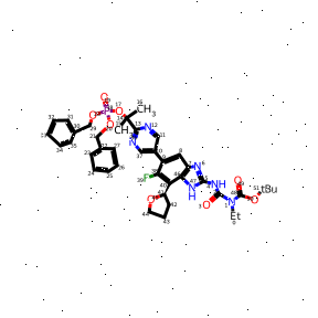 CCN(C(=O)Nc1nc2cc(-c3cnc(C(C)(C)OP(=O)(OCc4ccccc4)OCc4ccccc4)nc3)c(F)c([C@H]3CCCO3)c2[nH]1)C(=O)OC(C)(C)C